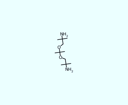 CC(C)(N)COC(C)(C)OCC(C)(C)N